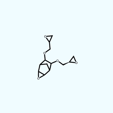 C1OC1COC1C2CC(C1OC[C@H]1CO1)C1OC21